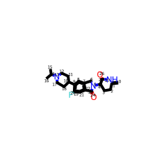 C=C1CCC(N2Cc3cc(C4CCN(C(C)C)CC4)c(F)cc3C2=O)C(=O)N1